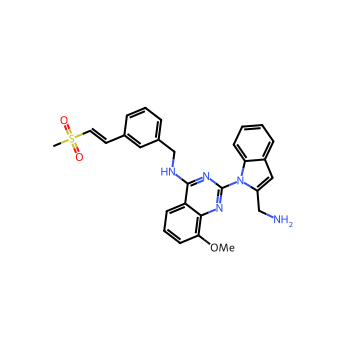 COc1cccc2c(NCc3cccc(/C=C/S(C)(=O)=O)c3)nc(-n3c(CN)cc4ccccc43)nc12